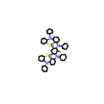 Cc1c2c(cc3c1N(c1ccccc1)c1cccc4c1B3Sc1ccccc1N4c1ccccc1)B1Sc3ccccc3N(c3ccccc3)c3cccc(c31)N2c1ccccc1